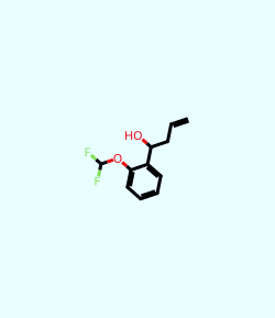 C=CCC(O)c1ccccc1OC(F)F